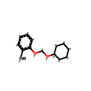 O=Cc1ccccc1OCOC1CCCCC1